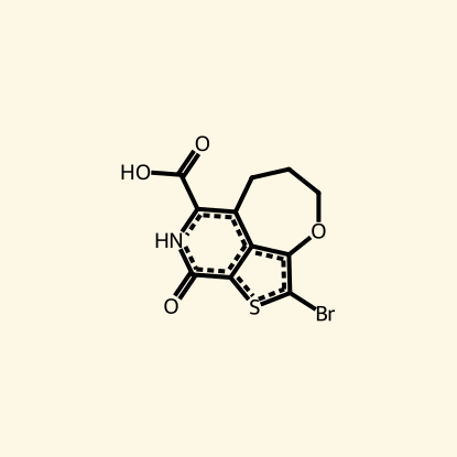 O=C(O)c1[nH]c(=O)c2sc(Br)c3c2c1CCCO3